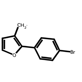 [CH2]c1ccoc1-c1ccc(Br)cc1